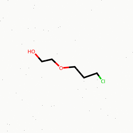 OCCOCCCCl